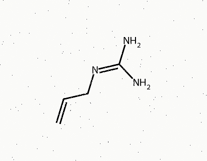 C=CCN=C(N)N